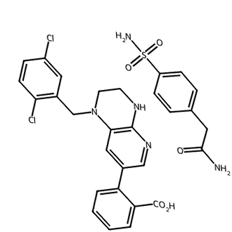 NC(=O)Cc1ccc(S(N)(=O)=O)cc1.O=C(O)c1ccccc1-c1cnc2c(c1)N(Cc1cc(Cl)ccc1Cl)CCN2